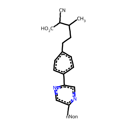 CCCCCCCCCc1cnc(-c2ccc(CCC(C)C(C#N)C(=O)O)cc2)cn1